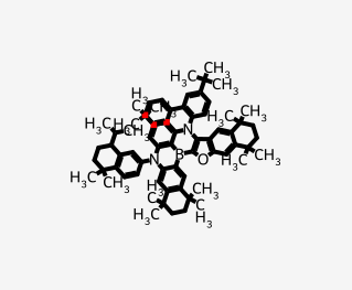 CC(C)C1CCC(C)(C)c2ccc(N3c4cc5c(cc4B4c6oc7cc8c(cc7c6N(c6ccc(C(C)(C)C)cc6-c6ccccc6)c6cc(C(C)(C)C)cc3c64)C(C)(C)CCC8(C)C)C(C)(C)CCC5(C)C)cc21